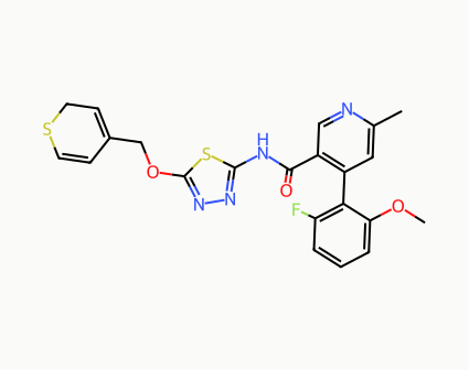 COc1cccc(F)c1-c1cc(C)ncc1C(=O)Nc1nnc(OCC2=CCSC=C2)s1